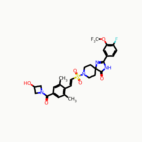 Cc1cc(C(=O)N2CC(O)C2)cc(C)c1C=CS(=O)(=O)N1CCC2(CC1)N=C(c1ccc(F)c(OC(F)(F)F)c1)NC2=O